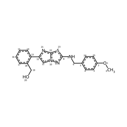 COc1ccc(CNc2nn3cc(-c4ccccc4CO)nc3s2)cc1